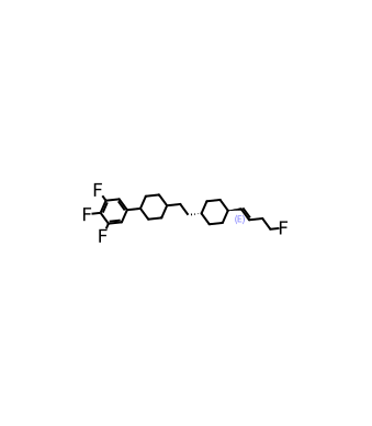 FCC/C=C/[C@H]1CC[C@H](CCC2CCC(c3cc(F)c(F)c(F)c3)CC2)CC1